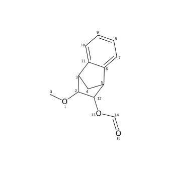 COC1C2CC(c3ccccc32)C1OC=O